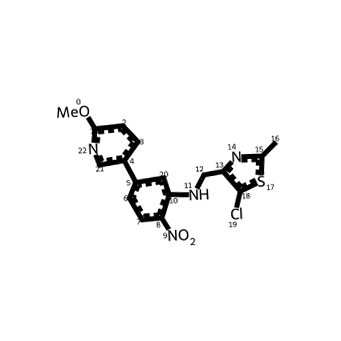 COc1ccc(-c2ccc([N+](=O)[O-])c(NCc3nc(C)sc3Cl)c2)cn1